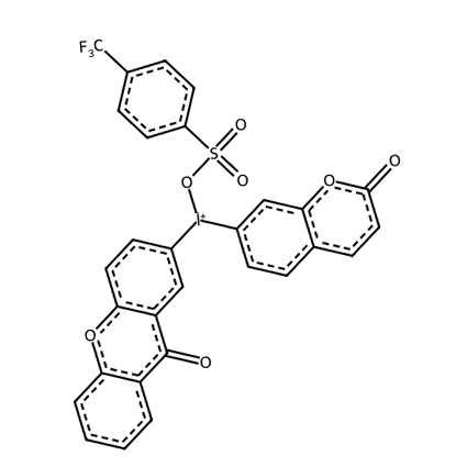 O=c1ccc2ccc([I+](OS(=O)(=O)c3ccc(C(F)(F)F)cc3)c3ccc4oc5ccccc5c(=O)c4c3)cc2o1